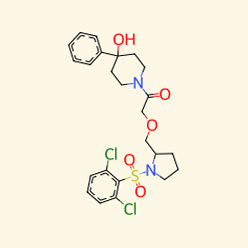 O=C(COCC1CCCN1S(=O)(=O)c1c(Cl)cccc1Cl)N1CCC(O)(c2ccccc2)CC1